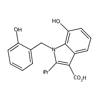 CC(C)c1c(C(=O)O)c2cccc(O)c2n1Cc1ccccc1O